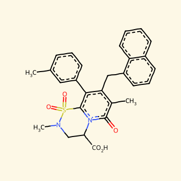 Cc1cccc(-c2c(Cc3cccc4ccccc34)c(C)c(=O)n3c2S(=O)(=O)N(C)CC3C(=O)O)c1